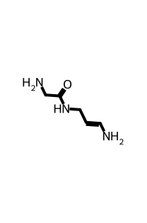 NC=CCNC(=O)CN